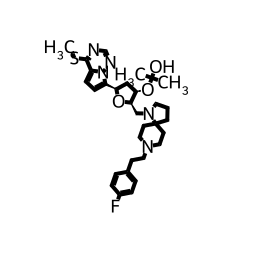 CSc1ncnn2c([C@H]3C[C@H](OC(C)(C)O)[C@@H](CN4CCCC45CCN(CCc4ccc(F)cc4)CC5)O3)ccc12